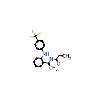 C=CC(=O)NC(=C)c1ccccc1Nc1ccc(C(F)(F)F)cc1